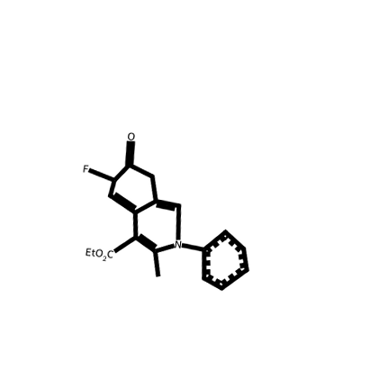 CCOC(=O)C1=C(C)N(c2ccccc2)C=C2CC(=O)C(F)C=C21